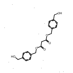 O=C(CC(=O)OCc1ccc(CO)cc1)OCc1ccc(CO)cc1